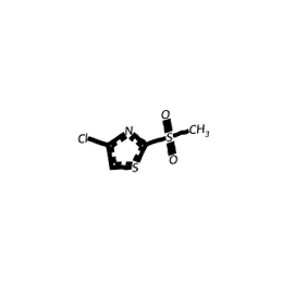 CS(=O)(=O)c1nc(Cl)cs1